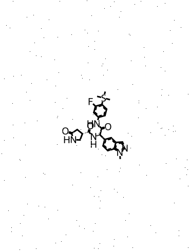 Cn1ncc2cc([C@@H](NC(=O)[C@@H]3CNC(=O)C3)C(=O)Nc3ccc(S(C)(C)C)c(F)c3)ccc21